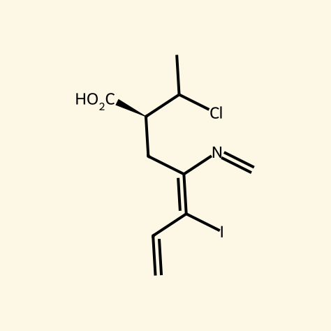 C=C/C(I)=C(\C[C@@H](C(=O)O)C(C)Cl)N=C